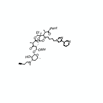 C#CCCN(C)[C@H]1C[C@@H](C)O[C@@H](O[C@@H](OC)[C@@H](C)C(=O)[C@@H](C)C(=O)O[C@H](CC)[C@@]2(C)OCON(CCCCn3cnc(-c4cccnc4)c3)C2[C@@H](C)C(=O)[C@H](C)CCC)[C@@H]1O